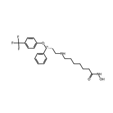 O=C(CCCCCCNCC[C@@H](Oc1ccc(C(F)(F)F)cc1)c1ccccc1)NO